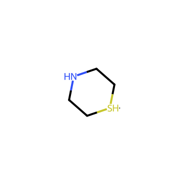 C1C[SH]CCN1